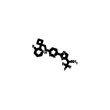 NC(c1cnc(-c2ccc(NCC3(c4ncccc4F)CCC3)nn2)s1)C(F)(F)F